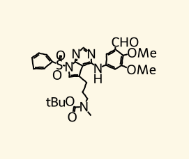 COc1cc(Nc2ncnc3c2c(CCCN(C)C(=O)OC(C)(C)C)cn3S(=O)(=O)c2ccccc2)cc(C=O)c1OC